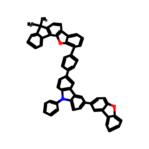 CC1(C)c2ccccc2-c2c1ccc1c2oc2c(-c3ccc(-c4ccc5c(c4)c4cc(-c6ccc7oc8ccccc8c7c6)ccc4n5-c4ccccc4)cc3)cccc21